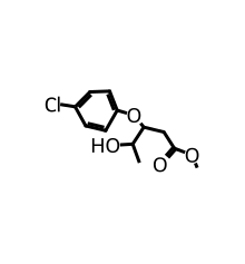 COC(=O)CC(Oc1ccc(Cl)cc1)C(C)O